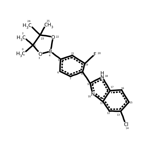 CC1(C)OB(c2ccc(-c3nc4cc(Cl)ccc4[nH]3)c(F)c2)OC1(C)C